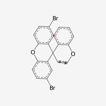 Brc1ccc2c(c1)C1(c3ccccc3Oc3ccccc31)c1cc(Br)ccc1O2